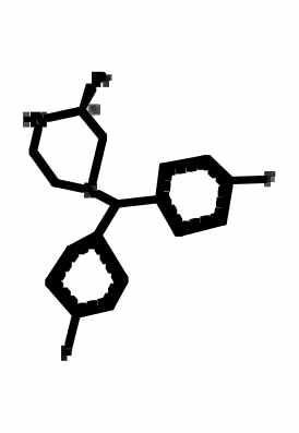 CC(C)[C@H]1CN(C(c2ccc(F)cc2)c2ccc(F)cc2)CCN1